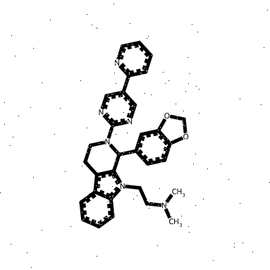 CN(C)CCn1c2c(c3ccccc31)CCN(c1ncc(-c3ccccn3)cn1)C2c1ccc2c(c1)OCO2